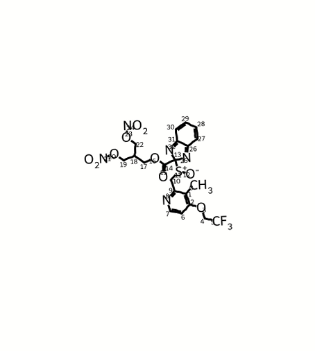 Cc1c(OCC(F)(F)F)ccnc1C[S+]([O-])C1(C(=O)OCC(CO[N+](=O)[O-])CO[N+](=O)[O-])N=c2ccccc2=N1